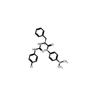 CN(C)c1ccc(NC(=O)[C@H](Cc2ccccc2)NC(=O)Nc2ccc(Cl)cc2)cc1